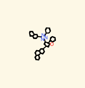 C1=CCC(c2nc(-c3ccc4ccccc4c3)nc(-c3cc(-c4ccc5c(ccc6ccccc65)c4)cc4oc5ccccc5c34)n2)C=C1